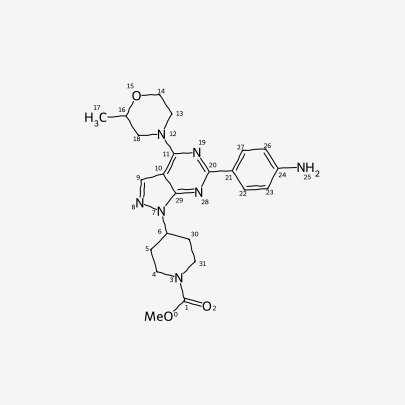 COC(=O)N1CCC(n2ncc3c(N4CCOC(C)C4)nc(-c4ccc(N)cc4)nc32)CC1